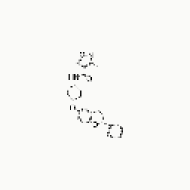 Cc1noc(C)c1C(=O)N[C@H]1CC[C@H](Oc2ccc3c(c2)CCC(c2ccccc2)O3)CC1